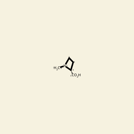 [CH2]N1CC[C@@H]1C(=O)O